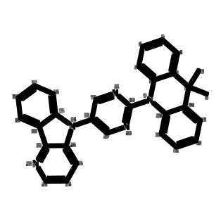 CC1(C)c2ccccc2N(c2ncc(-n3c4ccccc4c4ncccc43)cn2)c2ccccc21